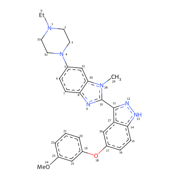 CCN1CCN(c2ccc3nc(-c4n[nH]c5ccc(Oc6cccc(OC)c6)cc45)n(C)c3c2)CC1